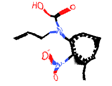 C=CCN(C(=O)O)c1cccc(C)c1[N+](=O)[O-]